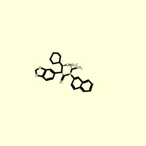 C[C@@H](C(=O)O)N(C(=O)[C@H](c1ccc2c(c1)OCO2)[C@H](O)C1CCCCC1)c1ccc2ccccc2c1